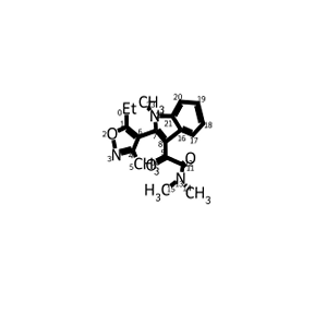 CCc1onc(C)c1-c1c(C(=O)C(=O)N(C)C)c2ccccc2n1C